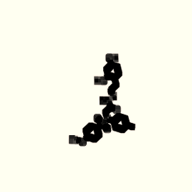 CCOc1ccc(S(=O)(=O)N(CC(=O)NN=CCc2ccc(O)cc2O)c2ccc(C)cc2)cc1